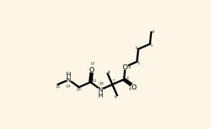 CCCCOC(=O)C(C)(C)NC(=O)CNC